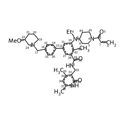 C=CC(=O)N1CCC(N(CC)c2cc(-c3ccc(CN4CCCC(OC)C4)cc3)cc(C(=O)NCc3c(C)cc(C)[nH]c3=O)c2C)CC1